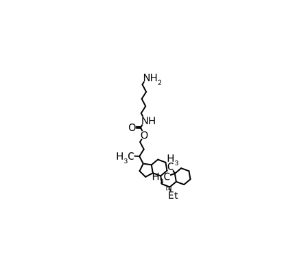 CC[C@@H](CC1CCCC2C(C(C)CCOC(=O)NCCCCCN)CCC12)C1CCCCC1(C)C